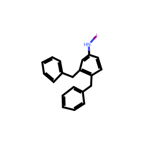 INc1ccc(Cc2ccccc2)c(Cc2ccccc2)c1